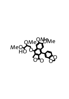 COc1cc2c(OCC(OC)C(O)OC)c3c(c(-c4ccc5c(c4)OCO5)c2cc1OC)C(=O)OC3